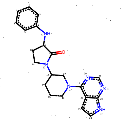 O=C1C(Nc2ccccc2)CCN1C1CCCN(c2ncnc3[nH]ccc23)C1